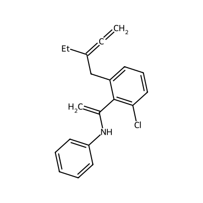 C=C=C(CC)Cc1cccc(Cl)c1C(=C)Nc1ccccc1